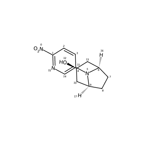 O=[N+]([O-])c1ccc(N2[C@@H]3CC[C@H]2C[C@@H](O)C3)cn1